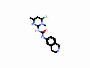 CC1CC(Cl)N(C)C(NC(=O)Nc2ccc3c(c2)CCN=C3)N1